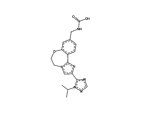 CC(C)n1ncnc1-c1cn2c(n1)-c1ccc(CNC(=O)O)cc1OCC2